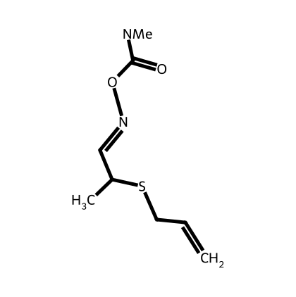 C=CCSC(C)/C=N/OC(=O)NC